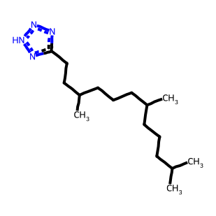 CC(C)CCCC(C)CCCC(C)CCc1nn[nH]n1